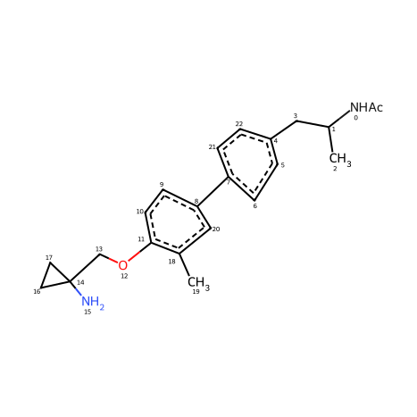 CC(=O)NC(C)Cc1ccc(-c2ccc(OCC3(N)CC3)c(C)c2)cc1